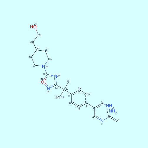 C=C(N)/N=C\C(=C/N)c1ccc(C(C)(c2noc(N3CCC(CCO)CC3)n2)C(C)C)cc1